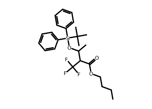 CCCCOC(=O)C(C(C)O[Si](c1ccccc1)(c1ccccc1)C(C)(C)C)C(F)(F)F